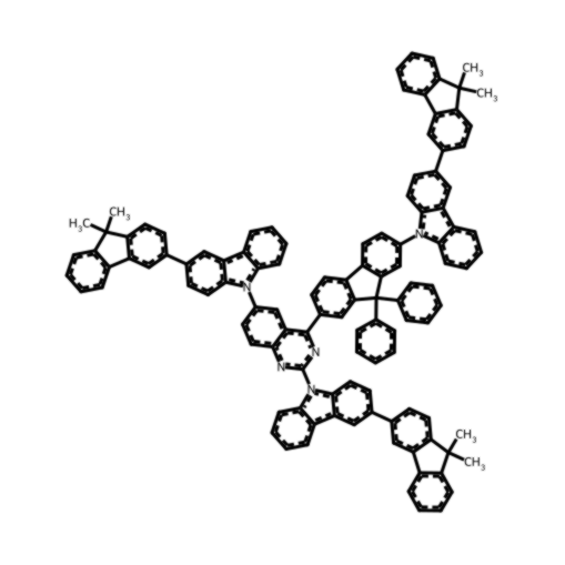 CC1(C)c2ccccc2-c2cc(-c3ccc4c(c3)c3ccccc3n4-c3ccc4c(c3)C(c3ccccc3)(c3ccccc3)c3cc(-c5nc(-n6c7ccccc7c7cc(-c8ccc9c(c8)-c8ccccc8C9(C)C)ccc76)nc6ccc(-n7c8ccccc8c8cc(-c9ccc%10c(c9)-c9ccccc9C%10(C)C)ccc87)cc56)ccc3-4)ccc21